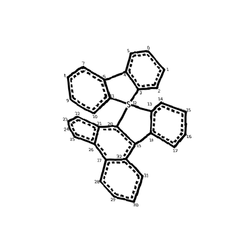 c1ccc2c(c1)-c1ccccc1S21c2ccccc2-c2c1c1ccccc1c1ccccc21